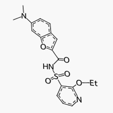 CCOc1ncccc1S(=O)(=O)NC(=O)c1cc2ccc(N(C)C)cc2o1